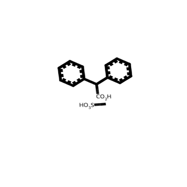 CS(=O)(=O)O.O=C(O)C(c1ccccc1)c1ccccc1